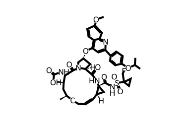 COc1ccc2c(O[C@@H]3C[C@H]4C(=O)N[C@]5(C(=O)NS(=O)(=O)C6(CF)CC6)C[C@H]5/C=C\CC[C@@H](C)C[C@@H](C)[C@H](NC(=O)O)C(=O)N4C3)cc(-c3ccc(OC(C)C)cc3)nc2c1